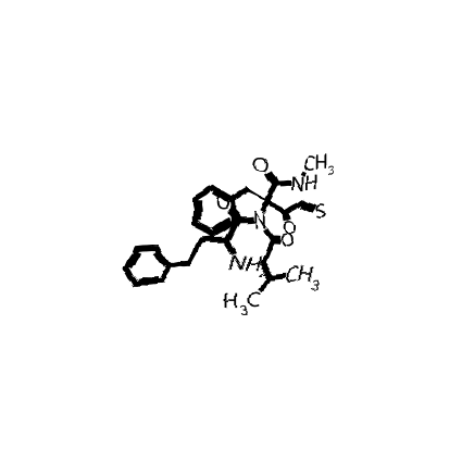 CNC(=O)[C@](Cc1ccccc1)(C(=O)C=S)N(C(=O)CC(C)C)C(=O)C(N)CCc1ccccc1